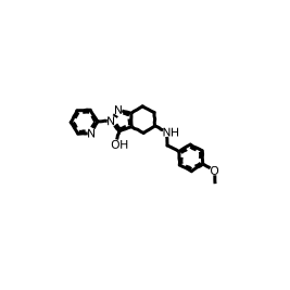 COc1ccc(CNC2CCc3nn(-c4ccccn4)c(O)c3C2)cc1